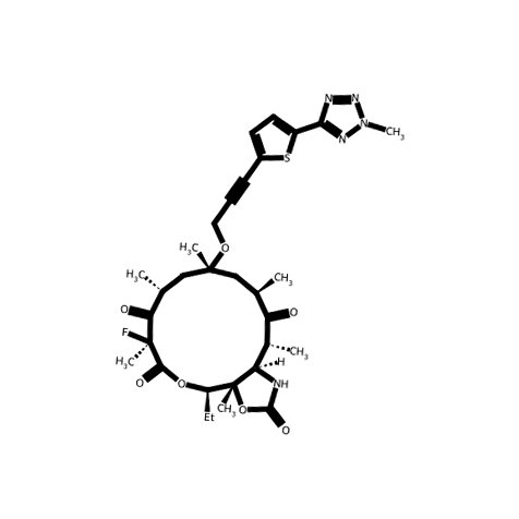 CC[C@H]1OC(=O)[C@@](C)(F)C(=O)[C@H](C)[C][C@](C)(OCC#Cc2ccc(-c3nnn(C)n3)s2)C[C@@H](C)C(=O)[C@H](C)[C@H]2NC(=O)O[C@@]21C